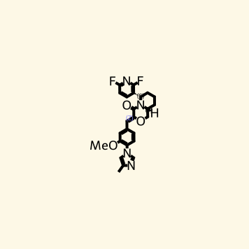 COc1cc(/C=C2\OC[C@H]3CCC[C@@H](c4ccc(F)nc4F)N3C2=O)ccc1-n1cnc(C)c1